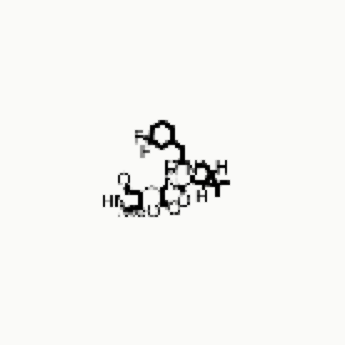 COC(=O)[C@H](C[C@@H]1CCNC1=O)NC(=O)[C@@H]1[C@@H]2[C@H](CN1C(=O)CC1CCCC(F)(F)C1)C2(C)C